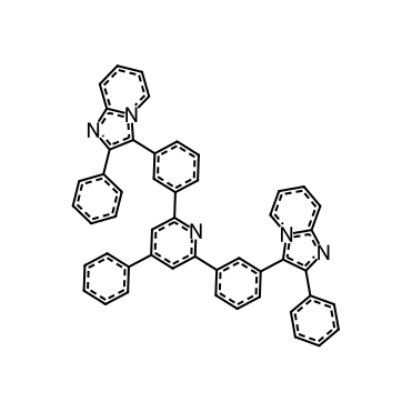 c1ccc(-c2cc(-c3cccc(-c4c(-c5ccccc5)nc5ccccn45)c3)nc(-c3cccc(-c4c(-c5ccccc5)nc5ccccn45)c3)c2)cc1